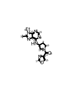 CCn1c(I)nc2c(NC3CCN(C(=O)c4cocn4)C3)ncnc21